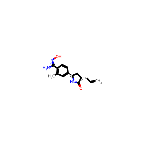 C=CC[C@H]1C[C@H](c2ccc(/C(N)=N\O)c(C)c2)NC1=O